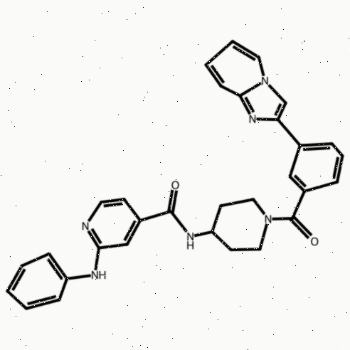 O=C(NC1CCN(C(=O)c2cccc(-c3cn4ccccc4n3)c2)CC1)c1ccnc(Nc2ccccc2)c1